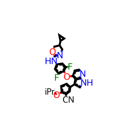 CC(C)Oc1ccc(-c2c[nH]c3nccc(Oc4c(F)cc(NC5=NCC(C6CC6)CO5)cc4F)c23)cc1C#N